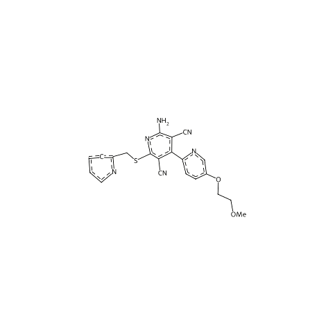 COCCOc1ccc(-c2c(C#N)c(N)nc(SCc3ccccn3)c2C#N)nc1